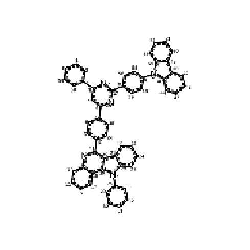 c1ccc(-c2cc(-c3ccc(-c4nc5ccccc5c5c4c4ccccc4n5-c4ccccc4)cc3)nc(-c3ccc(-n4c5ccccc5c5ccccc54)cc3)n2)cc1